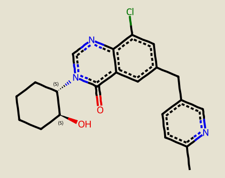 Cc1ccc(Cc2cc(Cl)c3ncn([C@H]4CCCC[C@@H]4O)c(=O)c3c2)cn1